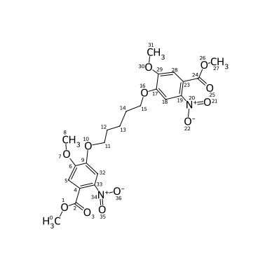 COC(=O)c1cc(OC)c(OCCCCCOc2cc([N+](=O)[O-])c(C(=O)OC)cc2OC)cc1[N+](=O)[O-]